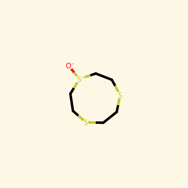 [O-][S+]1CCSCCSCC1